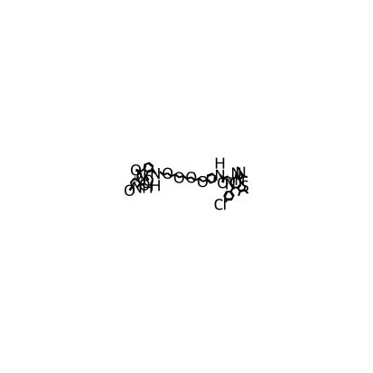 Cc1sc2c(c1C)C(c1ccc(Cl)cc1)=N[C@@H](CC(=O)Nc1ccc(OCCOCCOCCOCCNc3cccc4c3C(=O)N([C@@H]3CCC(=O)NC3=O)C4=O)cc1)c1nnc(C)n1-2